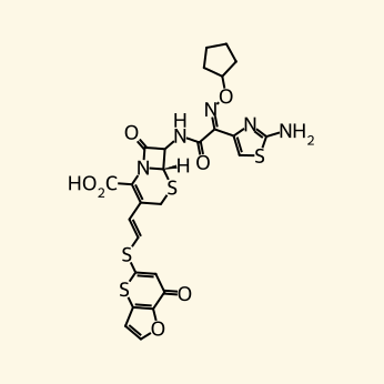 Nc1nc(C(=NOC2CCCC2)C(=O)NC2C(=O)N3C(C(=O)O)=C(C=CSc4cc(=O)c5occc5s4)CS[C@@H]23)cs1